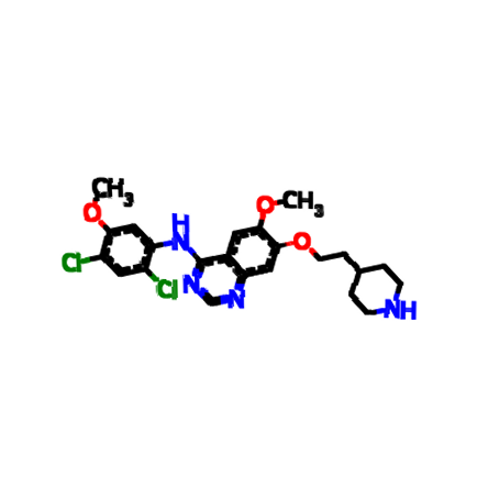 COc1cc(Nc2ncnc3cc(OCCC4CCNCC4)c(OC)cc23)c(Cl)cc1Cl